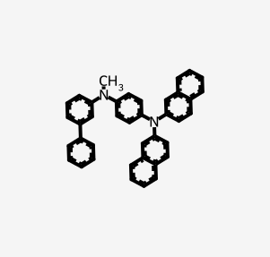 CN(c1ccc(N(c2ccc3ccccc3c2)c2ccc3ccccc3c2)cc1)c1cccc(-c2ccccc2)c1